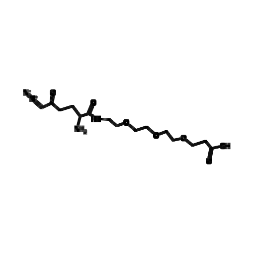 [N-]=[N+]=CC(=O)CCC(N)C(=O)NCCOCCOCCOCCC(=O)O